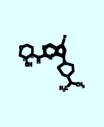 CC(C)C1CCN(c2cc(F)c3cnc(N[C@@H]4CCOC[C@H]4O)nn23)CC1